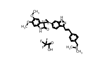 COc1cc2c(cc1OC)[C@]1(C[C@H]1c1ccc3c(C=Cc4ccc(CN(C)C)cc4)n[nH]c3c1)C(=O)N2.O=C(O)C(F)(F)F